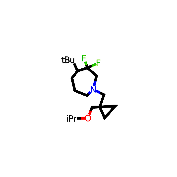 CC(C)OCC1(CN2CCCC(C(C)(C)C)C(F)(F)C2)CC1